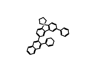 C1=CC(c2cc3ccccc3cc2-c2ccc3c(c2)-c2cc(-c4ccccc4)ccc2[Si]32CCCC2)=CCC1